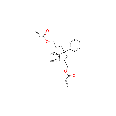 C=CC(=O)OCCCC(CCCOC(=O)C=C)(c1ccccc1)c1ccccc1